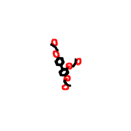 c1cc(-c2ccc(OCC3CO3)cc2OCC2CO2)ccc1OCC1CO1